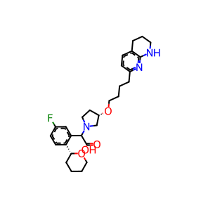 O=C(O)C(c1cc(F)ccc1[C@H]1CCCCO1)N1CC[C@H](OCCCCc2ccc3c(n2)NCCC3)C1